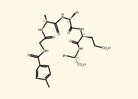 Cc1ccc(C(=O)NCC(=O)N[C@@H](C)C(=O)N[C@H](C(=O)N[C@@H](CCC(=O)O)C(=O)N[C@H](C(=O)O)C(C)C)C(C)C)cc1